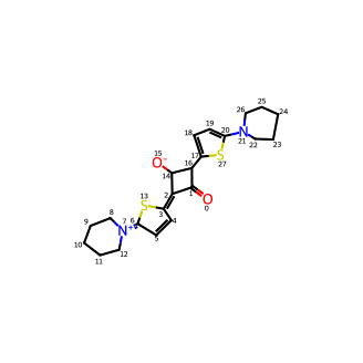 O=C1C(=C2C=CC(=[N+]3CCCCC3)S2)C([O-])C1c1ccc(N2CCCCC2)s1